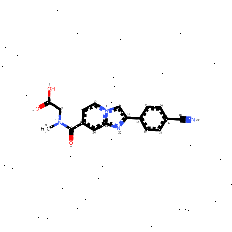 CN(CC(=O)O)C(=O)c1ccn2cc(-c3ccc(C#N)cc3)nc2c1